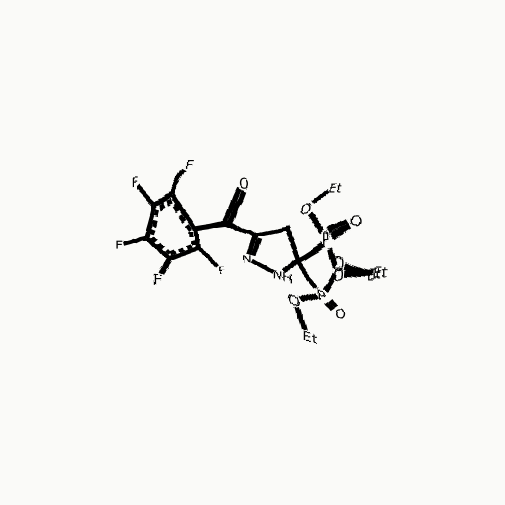 CCOP(=O)(OCC)C1(P(=O)(OCC)OCC)CC(C(=O)c2c(F)c(F)c(F)c(F)c2F)=NN1